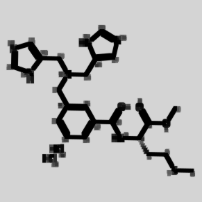 COC(=O)[C@H](CCSC)NC(=O)c1cccc(CN(Cc2cnc[nH]2)Cc2cnc[nH]2)c1.Cl.Cl